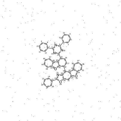 c1ccc(-c2nc(-c3ccccc3)nc(-c3ccc(-c4c5nc(-c6ccccc6)oc5cc5oc6ccccc6c45)c4oc5ccccc5c34)n2)cc1